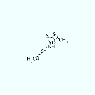 COCCSCCNc1cc(=S)c2scc(C)c2o1